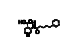 O=C(CCCCc1ccccc1)Nc1cnccc1C(=O)O